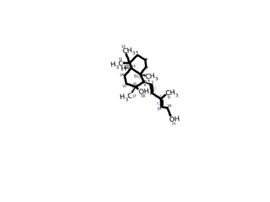 CC(/C=C/[C@@H]1[C@@]2(C)CCCC(C)(C)[C@@H]2CC[C@@]1(C)O)=C\CO